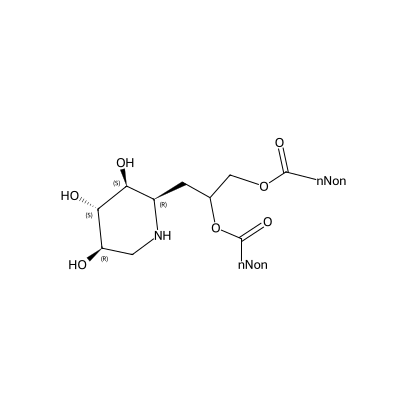 CCCCCCCCCC(=O)OCC(C[C@H]1NC[C@@H](O)[C@H](O)[C@H]1O)OC(=O)CCCCCCCCC